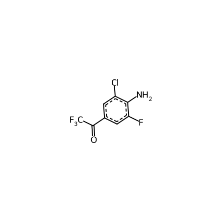 Nc1c(F)cc(C(=O)C(F)(F)F)cc1Cl